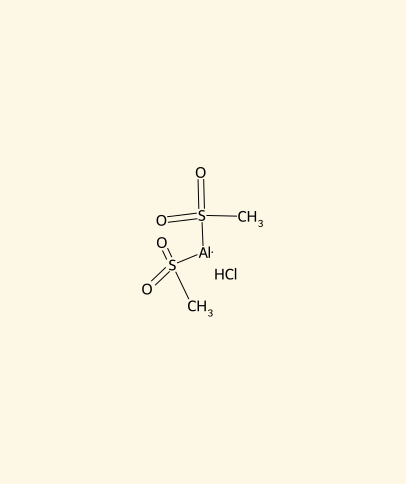 C[S](=O)(=O)[Al][S](C)(=O)=O.Cl